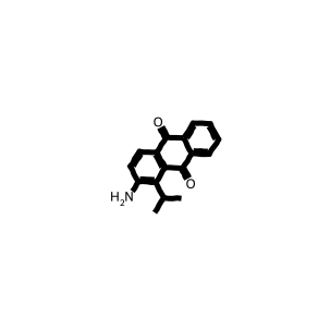 CC(C)c1c(N)ccc2c1C(=O)c1ccccc1C2=O